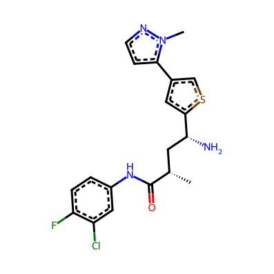 C[C@@H](C[C@@H](N)c1cc(-c2ccnn2C)cs1)C(=O)Nc1ccc(F)c(Cl)c1